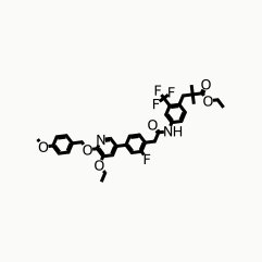 CCOC(=O)C(C)(C)Cc1ccc(NC(=O)Cc2ccc(-c3cnc(OCc4ccc(OC)cc4)c(OCC)c3)cc2F)cc1C(F)(F)F